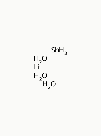 O.O.O.[Li].[SbH3]